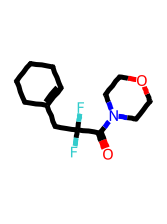 O=C(N1CCOCC1)C(F)(F)CC1=CCCCC1